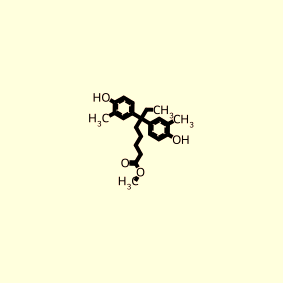 CCC(CCCCC(=O)OC)(c1ccc(O)c(C)c1)c1ccc(O)c(C)c1